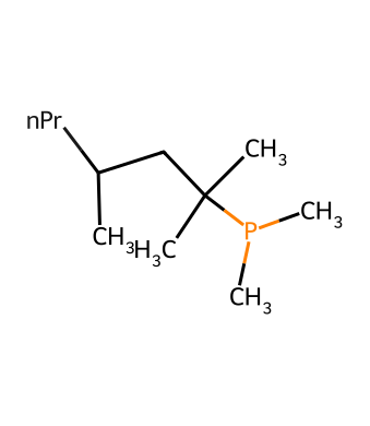 CCCC(C)CC(C)(C)P(C)C